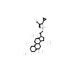 CC1CCC2(N)C3CCC4(C)C(C(=O)Cn5cc(C#N)c(C6CC6)n5)CC(C)C4C3CCC2(N)C1